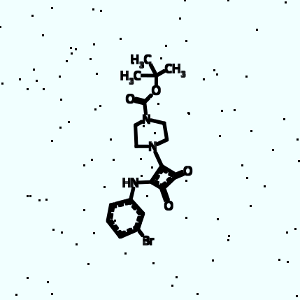 CC(C)(C)OC(=O)N1CCN(c2c(Nc3cccc(Br)c3)c(=O)c2=O)CC1